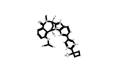 CN1C(=O)c2cccc(OC(F)F)c2[C@H]2C[C@@H]1c1nc3ccc(-c4cnc(C5(N)CCC5)nc4)nc3n12